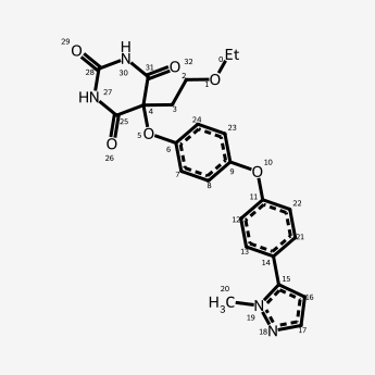 CCOCCC1(Oc2ccc(Oc3ccc(-c4ccnn4C)cc3)cc2)C(=O)NC(=O)NC1=O